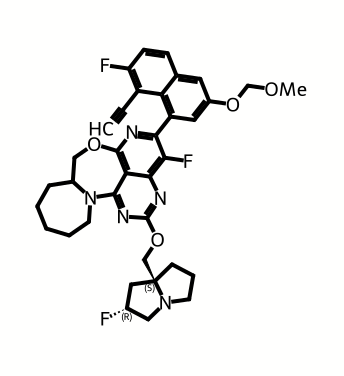 C#Cc1c(F)ccc2cc(OCOC)cc(-c3nc4c5c(nc(OC[C@@]67CCCN6C[C@H](F)C7)nc5c3F)N3CCCCCC3CO4)c12